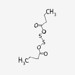 CCCC(=O)OSSOC(=O)CCC